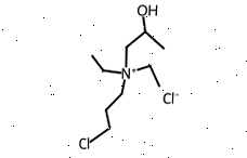 CC[N+](CC)(CCCCl)CC(C)O.[Cl-]